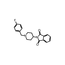 O=C1c2ccccc2C(=O)N1C1CCN(Cc2ccc(F)cc2)CC1